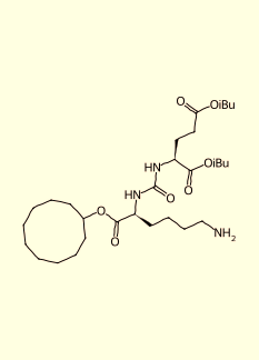 CC(C)COC(=O)CC[C@H](NC(=O)N[C@@H](CCCCN)C(=O)OC1CCCCCCCCC1)C(=O)OCC(C)C